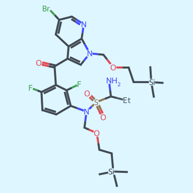 CCC(N)S(=O)(=O)N(COCC[Si](C)(C)C)c1ccc(F)c(C(=O)c2cn(COCC[Si](C)(C)C)c3ncc(Br)cc23)c1F